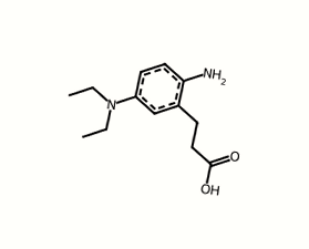 CCN(CC)c1ccc(N)c(CCC(=O)O)c1